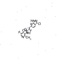 Cc1ncc(F)c(C)c1NC(=O)/C(F)=C/c1ccc2c(Cl)n[nH]c2n1